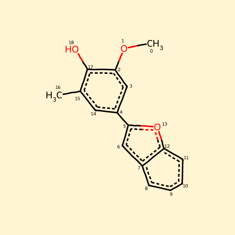 COc1cc(-c2cc3ccccc3o2)cc(C)c1O